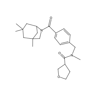 CN(Cc1ccc(C(=O)N2CC3(C)CC2CC(C)(C)C3)cc1)C(=O)C1CCOC1